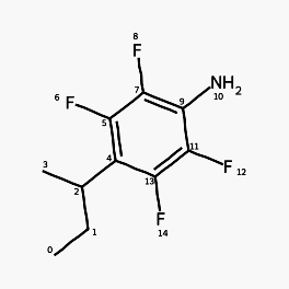 CCC(C)c1c(F)c(F)c(N)c(F)c1F